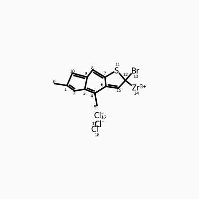 CC1=Cc2c(C)c3c(cc2=C1)S[C](Br)([Zr+3])C=3.[Cl-].[Cl-].[Cl-]